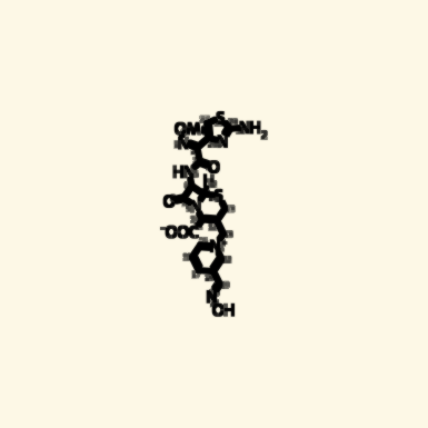 CON=C(C(=O)NC1C(=O)N2C(C(=O)[O-])=C(C[n+]3cccc(C=NO)c3)CS[C@@H]12)c1csc(N)n1